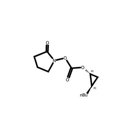 CCCC[C@@H]1C[C@H]1OC(=O)ON1CCCC1=O